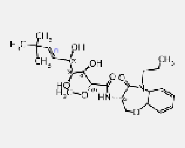 CCCN1C(=O)[C@@H](NC(=O)[C@H](OC)[C@H](O)[C@@H](O)[C@H](O)/C=C/C(C)(C)C)COC2C=CC=CC21